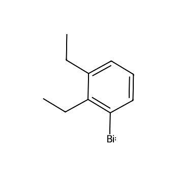 CCc1ccc[c]([Bi])c1CC